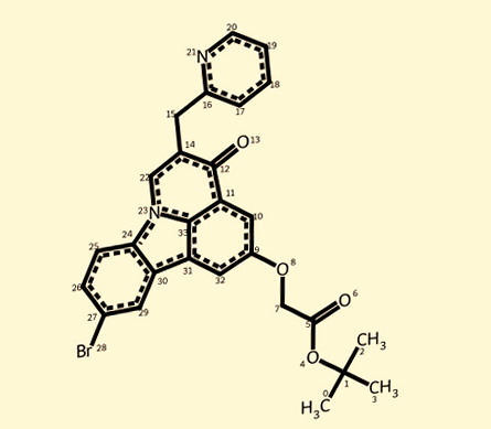 CC(C)(C)OC(=O)COc1cc2c(=O)c(Cc3ccccn3)cn3c4ccc(Br)cc4c(c1)c23